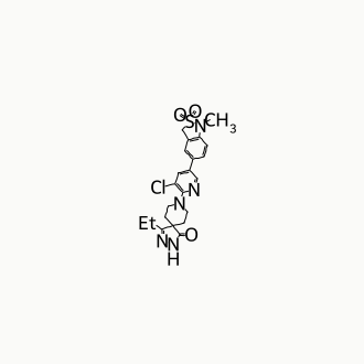 CCC1=NNC(=O)C12CCN(c1ncc(-c3ccc4c(c3)CS(=O)(=O)N4C)cc1Cl)CC2